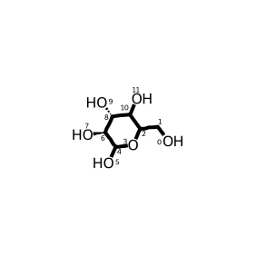 OCC1OC(O)[C@@H](O)[C@H](O)C1O